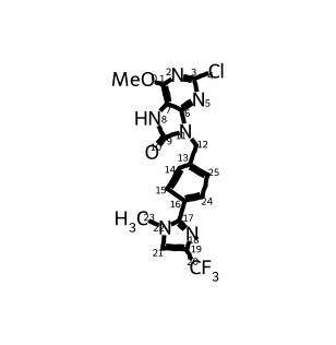 COc1nc(Cl)nc2c1[nH]c(=O)n2Cc1ccc(-c2nc(C(F)(F)F)cn2C)cc1